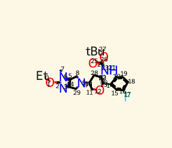 CCOc1nc2c(n1C)CN([C@H]1CO[C@H](c3cc(F)ccc3F)[C@@H](NC(=O)OC(C)(C)C)C1)C2